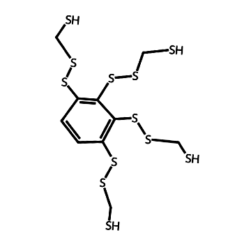 SCSSc1ccc(SSCS)c(SSCS)c1SSCS